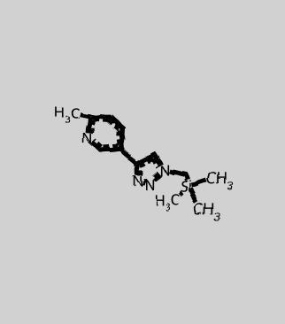 Cc1ccc(-c2cn(C[Si](C)(C)C)nn2)cn1